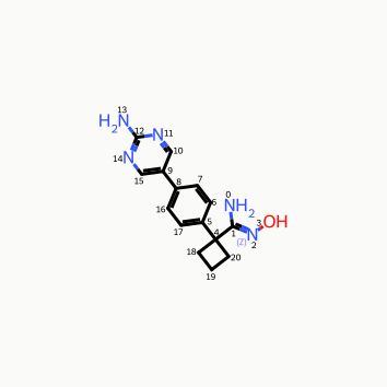 N/C(=N\O)C1(c2ccc(-c3cnc(N)nc3)cc2)CCC1